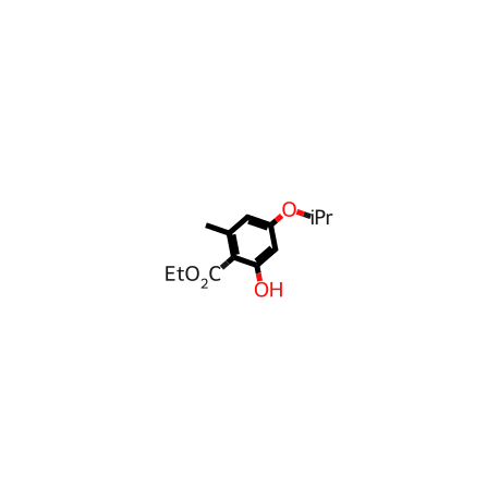 CCOC(=O)c1c(C)cc(OC(C)C)cc1O